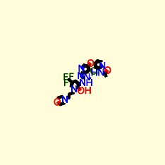 CC(=O)Nc1cc(Oc2cnc3nc(NC4=CC(C(F)(F)F)=CN(CCCN5CCOCC5)C4O)n(C)c3c2Cl)ccn1